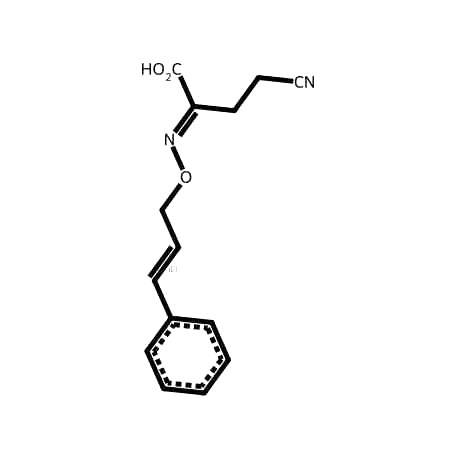 N#CCCC(=NOC/C=C/c1ccccc1)C(=O)O